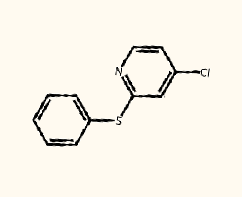 Clc1[c]c(Sc2ccccc2)ncc1